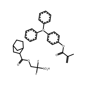 C=C(C)C(=O)Oc1ccc([S+](c2ccccc2)c2ccccc2)cc1.O=C(OCC(F)(F)S(=O)(=O)O)C1CC2CCC1C2